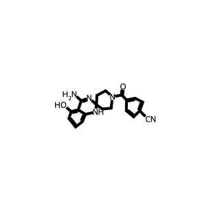 N#Cc1ccc(C(=O)N2CCC3(CC2)N=C(N)c2c(O)cccc2N3)cc1